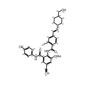 C#Cc1cc(OC)c(NC(=O)c2ccc(C=NN3CCC(CO)CC3)cc2F)c(C(=O)Nc2ccc(Cl)cn2)c1